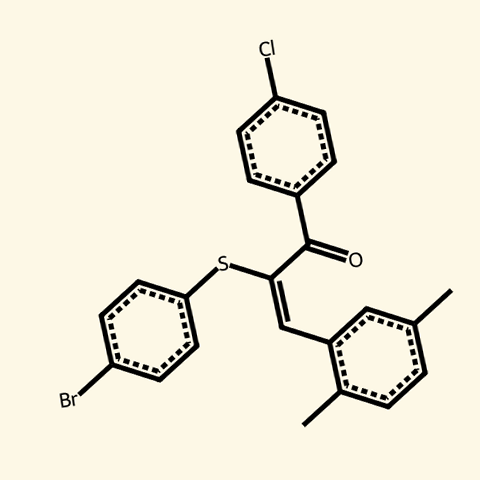 Cc1ccc(C)c(/C=C(/Sc2ccc(Br)cc2)C(=O)c2ccc(Cl)cc2)c1